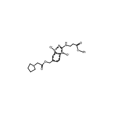 CC(C)OC(=O)CCNc1n[n+]([O-])c2cc(COC(=O)CN3CCCC3)ccc2[n+]1[O-]